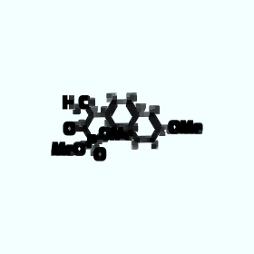 COc1ccc2cc(C(C)C(=O)P(=O)(OC)OC)ccc2c1